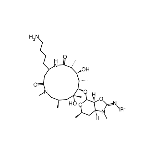 CC(C)/N=C1/O[C@H]2C(O[C@@H]3[C@@H](C)[C@H](O)[C@@H](C)C(=O)NC(CCCCN)CC(=O)N(C)C[C@H](C)C[C@@]3(C)O)O[C@H](C)C[C@@H]2N1C